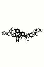 CC(C)(C)OC(=O)N1CCC(NS(=O)(=O)c2c[c]c(-c3ccc(Cl)cc3)c(S(=O)(=O)NC3CCN(C(=O)OC(C)(C)C)CC3)c2F)CC1